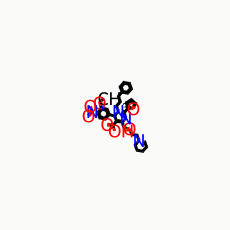 COc1cc(C2C(C(=O)O)=C(COCCN3CCCCC3)N=C(c3ccco3)N2CCCc2ccccc2)ccc1[N+](=O)[O-]